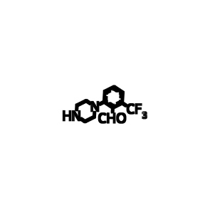 O=Cc1c(N2CCNCC2)cccc1C(F)(F)F